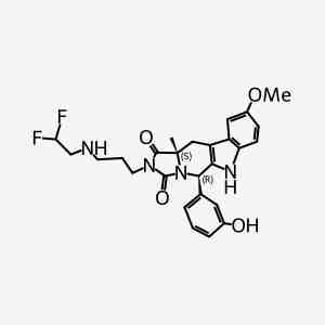 COc1ccc2[nH]c3c(c2c1)C[C@@]1(C)C(=O)N(CCCNCC(F)F)C(=O)N1[C@@H]3c1cccc(O)c1